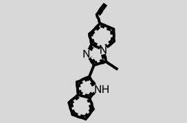 C=Cc1ccn2c(C)c(-c3cc4ccccc4[nH]3)nc2c1